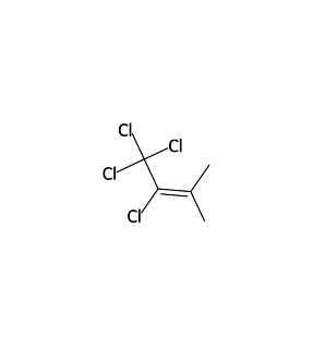 CC(C)=C(Cl)C(Cl)(Cl)Cl